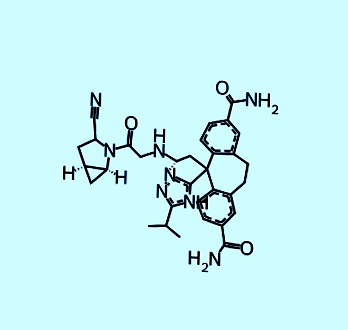 CC(C)c1nnc(C2(C[C@H](C)NCC(=O)N3C(C#N)C[C@@H]4C[C@@H]43)c3ccc(C(N)=O)cc3CCc3cc(C(N)=O)ccc32)[nH]1